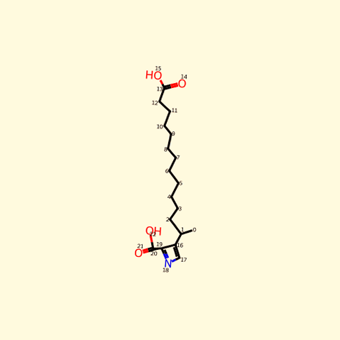 CC(CCCCCCCCCCCC(=O)O)C1=CN=C1C(=O)O